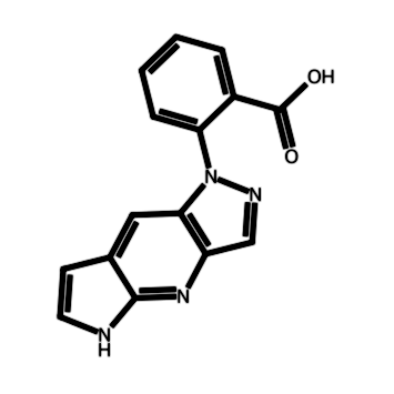 O=C(O)c1ccccc1-n1ncc2nc3[nH]ccc3cc21